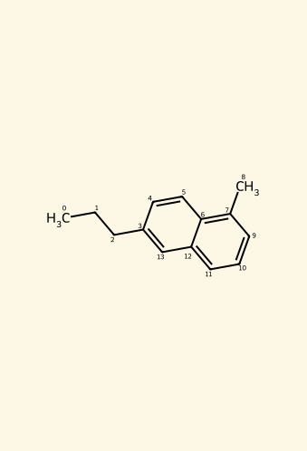 CCCc1ccc2c(C)cccc2c1